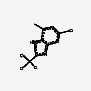 Cc1cc(Cl)cc2nc(C(Cl)(Cl)Cl)[nH]c12